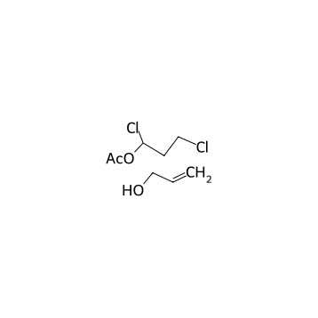 C=CCO.CC(=O)OC(Cl)CCCl